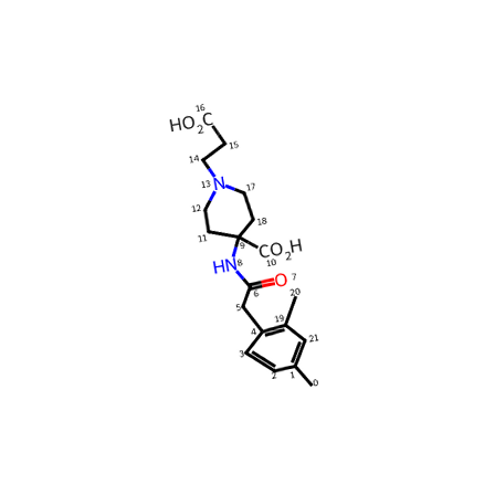 Cc1ccc(CC(=O)NC2(C(=O)O)CCN(CCC(=O)O)CC2)c(C)c1